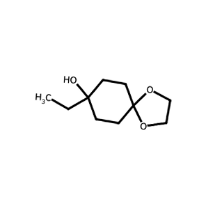 CCC1(O)CCC2(CC1)OCCO2